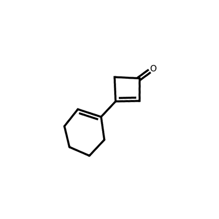 O=C1C=C(C2=CCCCC2)C1